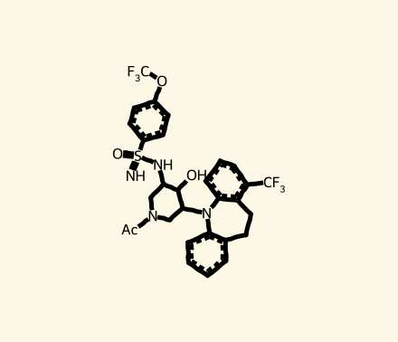 CC(=O)N1CC(NS(=N)(=O)c2ccc(OC(F)(F)F)cc2)C(O)C(N2c3ccccc3CCc3c2cccc3C(F)(F)F)C1